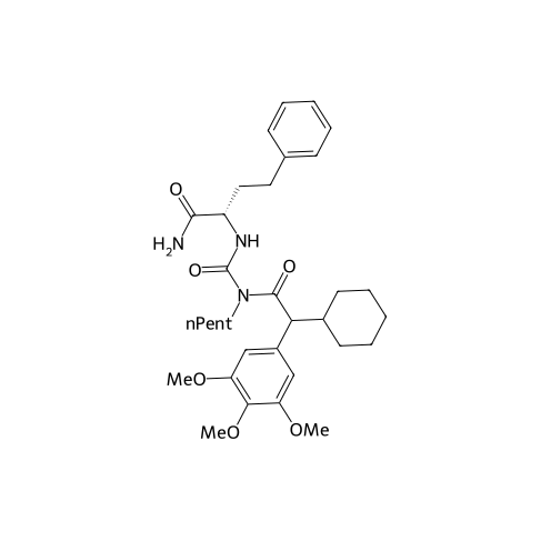 CCCCCN(C(=O)N[C@@H](CCc1ccccc1)C(N)=O)C(=O)C(c1cc(OC)c(OC)c(OC)c1)C1CCCCC1